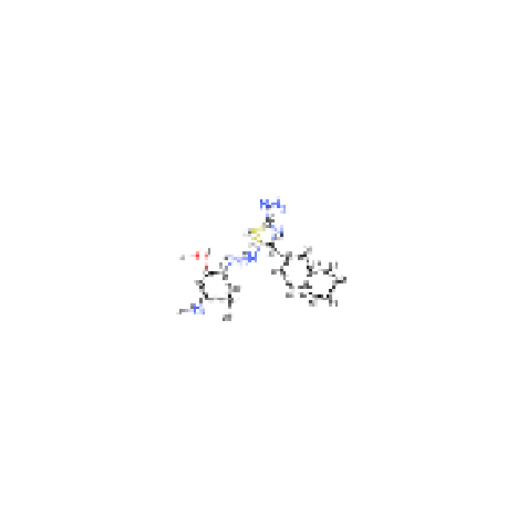 C=Nc1cc(OC)c(/N=N/c2sc(N)nc2-c2ccc3ccccc3c2)cc1C